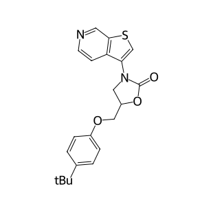 CC(C)(C)c1ccc(OCC2CN(c3csc4cnccc34)C(=O)O2)cc1